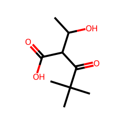 CC(O)C(C(=O)O)C(=O)C(C)(C)C